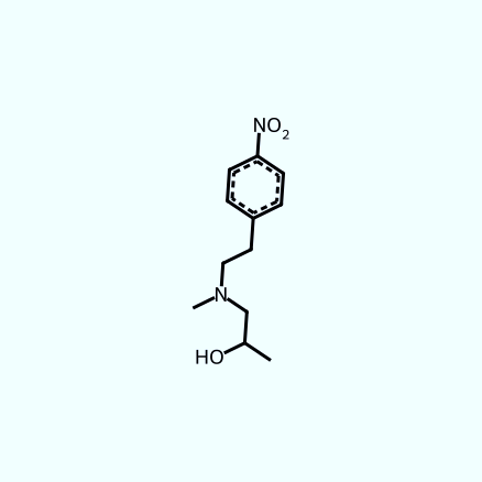 CC(O)CN(C)CCc1ccc([N+](=O)[O-])cc1